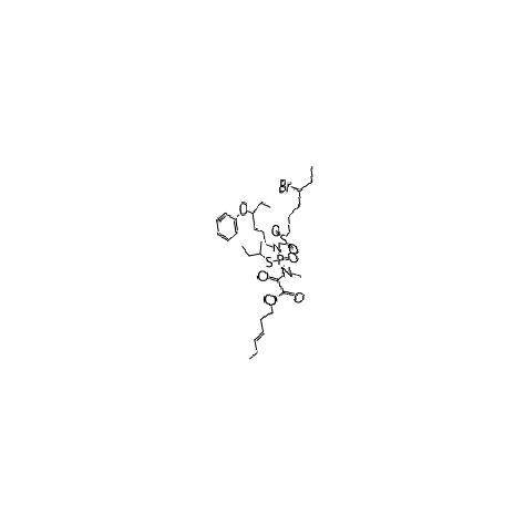 CCC=CCCOC(=O)C(=O)N(C)P(=O)(SC(C)CC)N(CCCC(CC)Oc1ccccc1)S(=O)(=O)CCCC(Br)CC